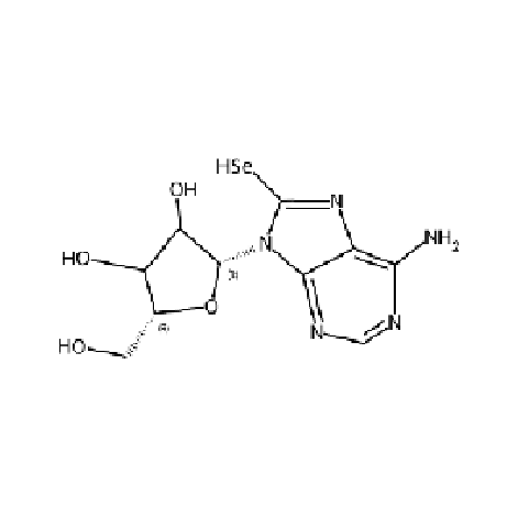 Nc1ncnc2c1nc([SeH])n2[C@@H]1O[C@H](CO)C(O)C1O